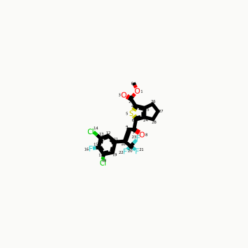 COC(=O)c1sc(C(=O)/C=C(/c2cc(Cl)c(F)c(Cl)c2)C(F)(F)F)c2c1CCC2